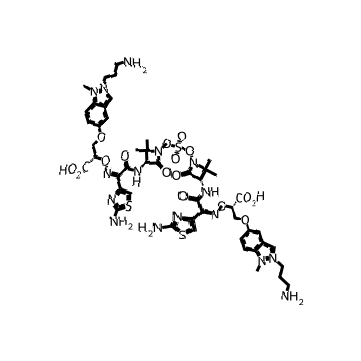 C[n+]1c2ccc(OC[C@H](O/N=C(\C(=O)N[C@@H]3C(=O)N(OS(=O)(=O)ON4C(=O)[C@@H](NC(=O)/C(=N\O[C@@H](COc5ccc6c(c5)cn(CCCN)[n+]6C)C(=O)O)c5csc(N)n5)C4(C)C)C3(C)C)c3csc(N)n3)C(=O)O)cc2cn1CCCN